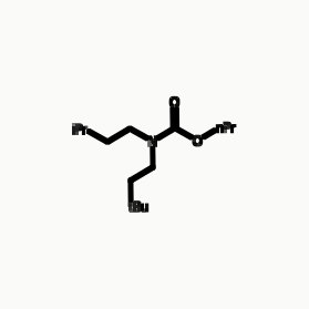 CCCOC(=O)N(CCC(C)C)CCC(C)(C)C